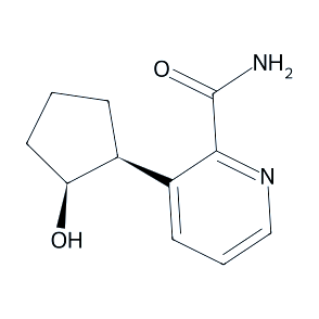 NC(=O)c1ncccc1[C@@H]1CCC[C@@H]1O